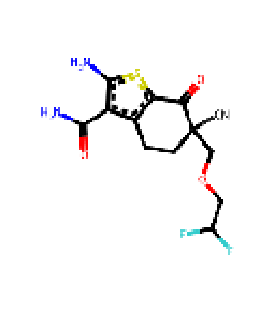 N#CC1(COCC(F)F)CCc2c(sc(N)c2C(N)=O)C1=O